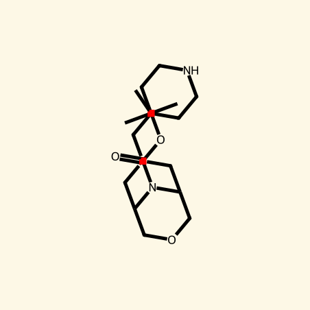 CC(C)(C)OC(=O)N1C2COCC1CN(CC1CCNCC1)C2